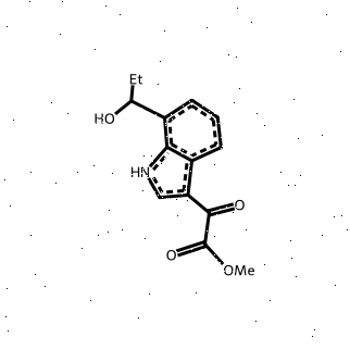 CCC(O)c1cccc2c(C(=O)C(=O)OC)c[nH]c12